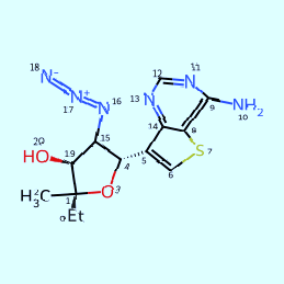 CC[C@]1(C)O[C@@H](c2csc3c(N)ncnc23)C(N=[N+]=[N-])[C@@H]1O